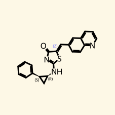 O=C1N=C(N[C@@H]2C[C@H]2c2ccccc2)S/C1=C\c1ccc2ncccc2c1